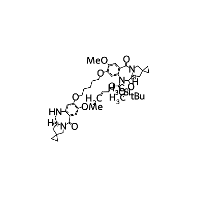 C=CCOC(=O)N1c2cc(OCCCCCOc3cc4c(cc3OC)C(=O)N3CC5(CC5)C[C@H]3CN4)c(OC)cc2C(=O)N2CC3(CC3)C[C@H]2C1O[Si](C)(C)C(C)(C)C